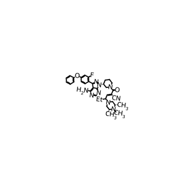 CCC(C=C(C#N)C(=O)N1CCC[C@@H](n2nc(-c3ccc(Oc4ccccc4)cc3F)c3c(N)ncnc32)C1)N1C[C@@H](C)N(C)[C@@H](C)C1